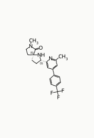 Cc1cc(-c2ccc(C(F)(F)F)cc2)cc([C@@H]2CC[C@@]3(CCN(C)C3=O)N2)n1